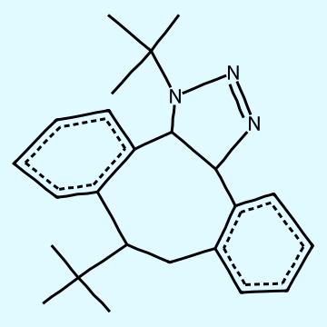 CC(C)(C)C1Cc2ccccc2C2N=NN(C(C)(C)C)C2c2ccccc21